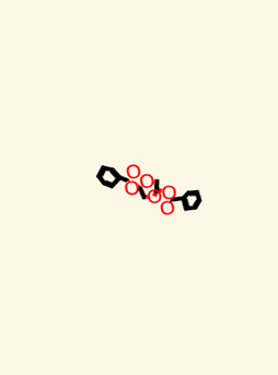 O=C(OC1COC(OC(=O)c2ccccc2)CO1)c1ccccc1